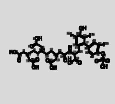 O=C(O)CN(CCN(CC(=O)O)CC(=O)O)CCN(CC(=O)O)CC(=O)N[C@@H](Cc1cc(I)c(O)c(I)c1-c1ccc(OS(=O)(=O)O)c(I)c1)C(=O)O